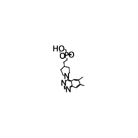 COP(=O)(CO)CCC1CCN(c2ncnc3cc(C)c(C)cc23)CC1